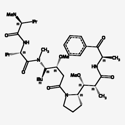 CC[C@H](C)[C@@H]([C@@H](CC(=O)N1CCC[C@H]1[C@H](OC)[C@@H](C)C(=O)N[C@H](C)C(=O)c1ccccc1)OC)N(C)C(=O)[C@@H](NC(=O)[C@@H](NC)C(C)C)C(C)C